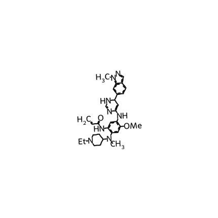 C=CC(=O)Nc1cc(NC2=CC(c3ccc4cnn(C)c4c3)NC=N2)c(OC)cc1N(C)C1CCN(CC)CC1